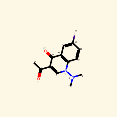 CC(=O)c1cn(N(C)C)c2ccc(I)cc2c1=O